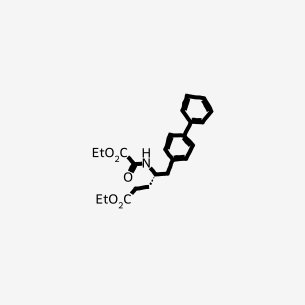 CCOC(=O)CC[C@@H](Cc1ccc(-c2ccccc2)cc1)NC(=O)C(=O)OCC